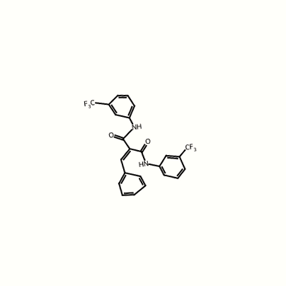 O=C(Nc1cccc(C(F)(F)F)c1)C(=Cc1ccccc1)C(=O)Nc1cccc(C(F)(F)F)c1